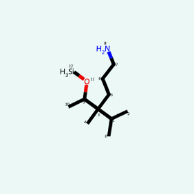 CC(C)C(C)(CCCN)C(C)O[SiH3]